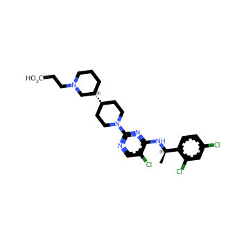 C[C@@H](Nc1nc(N2CCC([C@H]3CCCN(CCC(=O)O)C3)CC2)ncc1Cl)c1ccc(Cl)cc1Cl